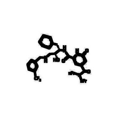 CCCN(CCC)C(=O)c1cc(C(=O)N[C@@H](Cc2ccccc2)[C@H](O)CNCc2cccc(C(F)(F)F)c2)[nH]c(=O)c1